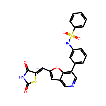 O=C1NC(=O)/C(=C/c2cc3cncc(-c4cccc(NS(=O)(=O)c5ccccc5)c4)c3o2)S1